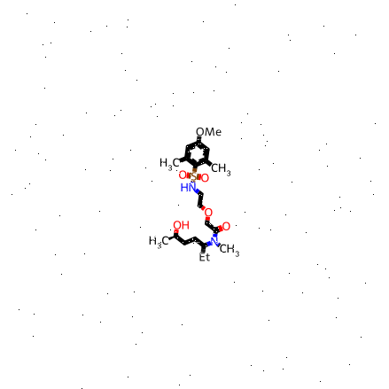 CCC(CC[C@@H](C)O)N(C)C(=O)COCCNS(=O)(=O)c1c(C)cc(OC)cc1C